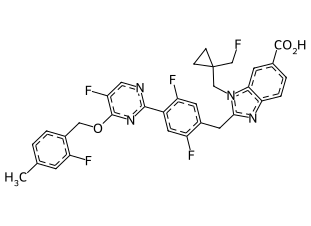 Cc1ccc(COc2nc(-c3cc(F)c(Cc4nc5ccc(C(=O)O)cc5n4CC4(CF)CC4)cc3F)ncc2F)c(F)c1